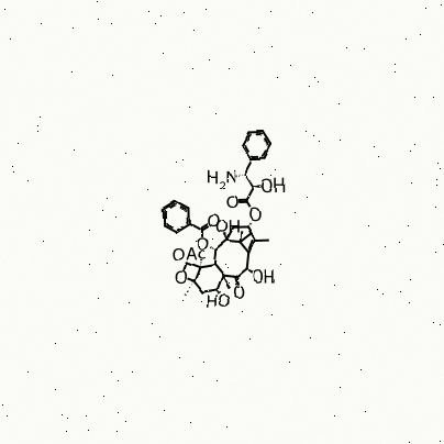 CC(=O)O[C@@]12CO[C@]1(C)C[C@H](O)[C@@]1(C)C(=O)[C@H](O)C3=C(C)[C@@H](OC(=O)[C@H](O)[C@H](N)c4ccccc4)C[C@@](O)([C@@H](OC(=O)c4ccccc4)C12)C3(C)C